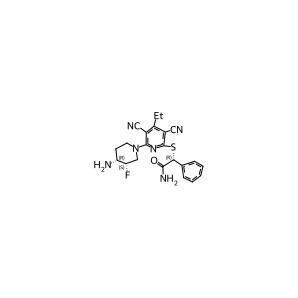 CCc1c(C#N)c(S[C@@H](C(N)=O)c2ccccc2)nc(N2CC[C@@H](N)[C@@H](F)C2)c1C#N